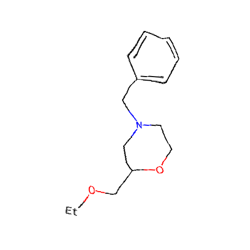 CCOCC1CN(Cc2ccccc2)CCO1